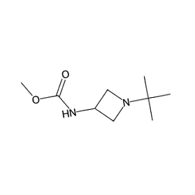 COC(=O)NC1CN(C(C)(C)C)C1